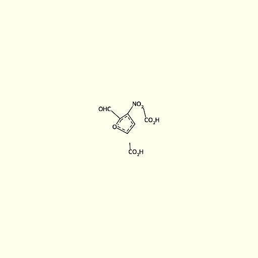 CC(=O)O.CC(=O)O.O=Cc1occc1[N+](=O)[O-]